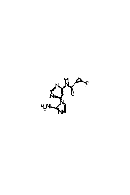 Nc1nccn1-c1cc(NC(=O)[C@H]2C[C@H]2F)ncn1